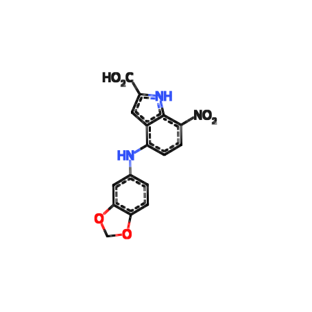 O=C(O)c1cc2c(Nc3ccc4c(c3)OCO4)ccc([N+](=O)[O-])c2[nH]1